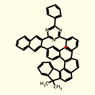 CC1(C)c2ccccc2-c2c1ccc1ccc3ccc4cc(-c5cc6ccccc6cc5-c5nc(-c6ccccc6)nc(-c6ccccc6)n5)ccc4c3c21